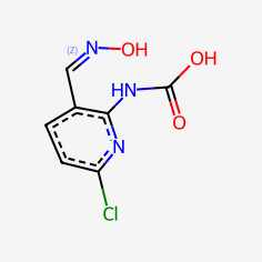 O=C(O)Nc1nc(Cl)ccc1/C=N\O